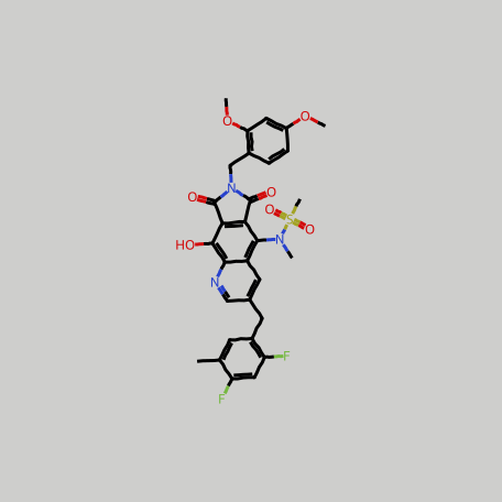 COc1ccc(CN2C(=O)c3c(c(O)c4ncc(Cc5cc(C)c(F)cc5F)cc4c3N(C)S(C)(=O)=O)C2=O)c(OC)c1